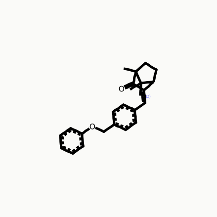 CC12CCC(/C(=C/c3ccc(COc4ccccc4)cc3)C1=O)C2(C)C